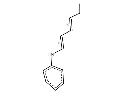 C=C/C=C/C=C/Nc1ccccc1